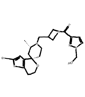 CCc1cc2c(s1)CCO[C@@]21CCN(CC2CN(C(=O)c3ccn(CO)n3)C2)[C@@H](C)C1